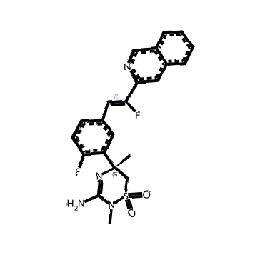 CN1C(N)=N[C@](C)(c2cc(/C=C(\F)c3cc4ccccc4cn3)ccc2F)CS1(=O)=O